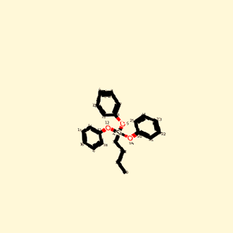 CCCC[Si](Oc1ccccc1)(Oc1ccccc1)Oc1ccccc1